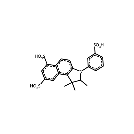 CC1N(c2cccc(S(=O)(=O)O)c2)c2ccc3c(S(=O)(=O)O)cc(S(=O)(=O)O)cc3c2C1(C)C